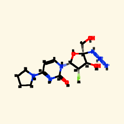 [N-]=[N+]=N[C@]1(CO)O[C@@H](n2ccc(N3CCCC3)nc2=O)[C@@H](F)C1O